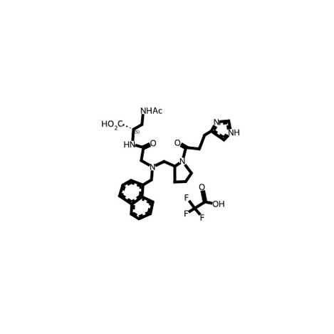 CC(=O)NC[C@H](NC(=O)CN(Cc1cccc2ccccc12)CC1CCCN1C(=O)CCc1c[nH]cn1)C(=O)O.O=C(O)C(F)(F)F